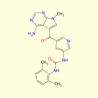 Cc1cccc(C)c1NC(=O)Nc1cncc(C(=O)c2cn(C)c3ncnc(N)c23)c1